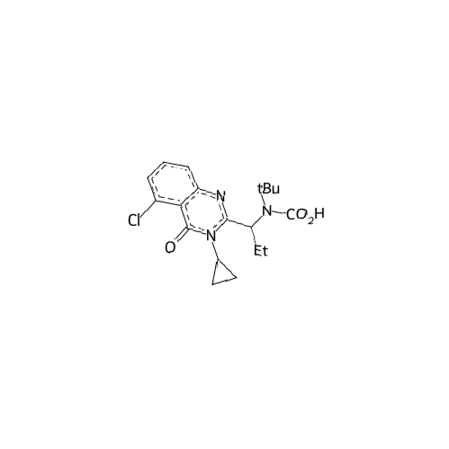 CCC(c1nc2cccc(Cl)c2c(=O)n1C1CC1)N(C(=O)O)C(C)(C)C